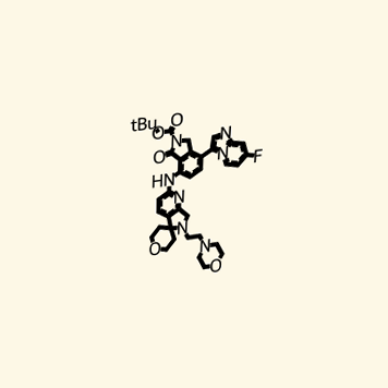 CC(C)(C)OC(=O)N1Cc2c(-c3cnc4cc(F)ccn34)ccc(Nc3ccc4c(n3)CN(CCN3CCOCC3)C43CCOCC3)c2C1=O